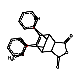 COC(=O)C1=C(CO)C2C3C(=O)OC(=O)C3C1C(c1ccccc1)C2c1ccccc1